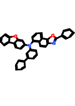 c1ccc(-c2cccc(N(c3ccc4c(c3)oc3ccccc34)c3cccc4c3ccc3nc(-c5ccccc5)oc34)c2)cc1